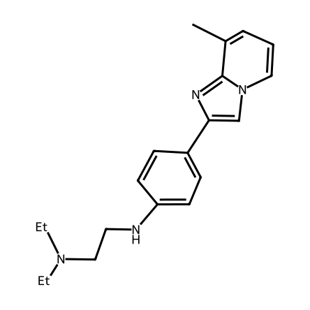 CCN(CC)CCNc1ccc(-c2cn3cccc(C)c3n2)cc1